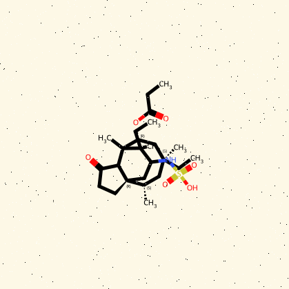 CCC(=O)O[C@@H]1C[C@@](C)(CC)C[C@H](C)[C@]23CCC(=O)C2C1(C)C(C)(CC)C(NS(=O)(=O)O)C3